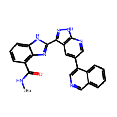 CC(C)(C)NC(=O)c1cccc2[nH]c(-c3n[nH]c4ncc(-c5cncc6ccccc56)cc34)nc12